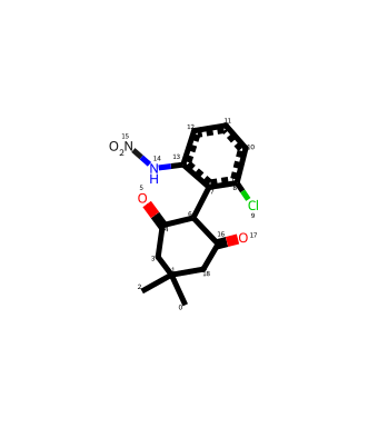 CC1(C)CC(=O)C(c2c(Cl)cccc2N[N+](=O)[O-])C(=O)C1